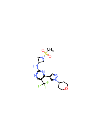 CS(=O)(=O)N1CC(Nc2ncc(C(F)(F)F)c(-c3cnn(C4CCOCC4)c3)n2)C1